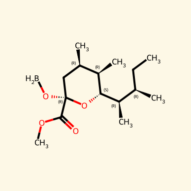 BO[C@]1(C(=O)OC)C[C@@H](C)[C@@H](C)[C@H]([C@H](C)[C@H](C)CC)O1